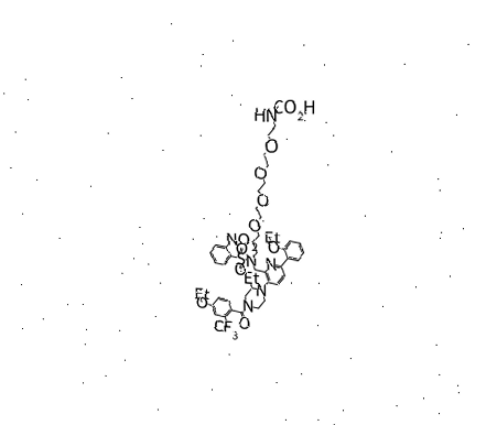 CCOc1ccc(C(=O)N2CCN(c3ccc(-c4ccccc4OCC)nc3CN(CCCOCCOCCOCCOCCNC(=O)O)S(=O)(=O)c3ccccc3[N+](=O)[O-])[C@H](CC)C2)c(C(F)(F)F)c1